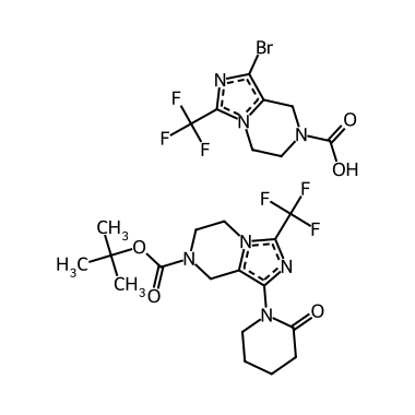 CC(C)(C)OC(=O)N1CCn2c(C(F)(F)F)nc(N3CCCCC3=O)c2C1.O=C(O)N1CCn2c(C(F)(F)F)nc(Br)c2C1